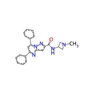 CN1CC(NC(=O)c2cc3nc(-c4ccccc4)cc(-c4ccccc4)n3n2)C1